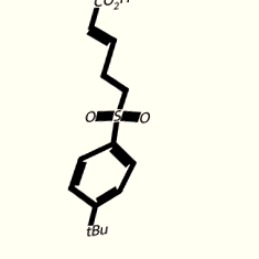 CC(C)(C)c1ccc(S(=O)(=O)CC/C=C/C(=O)O)cc1